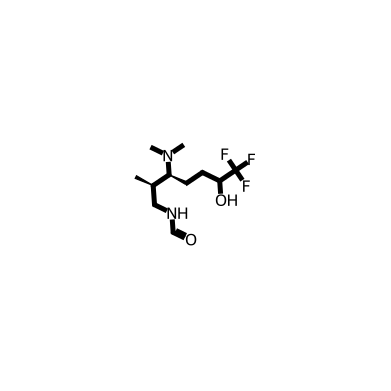 C[C@H](CNC=O)[C@H](CCC(O)C(F)(F)F)N(C)C